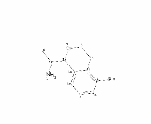 CC(N)C1OCCc2c(F)cccc21